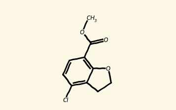 COC(=O)c1ccc(Cl)c2c1OCC2